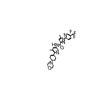 Cc1cc(NC(=O)c2cc(C)n(-c3ccc(C(F)(F)F)cn3)n2)cnc1C1=CCC(N2CCOCC2)CC1